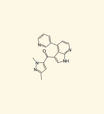 Cc1cc(C(=O)c2c[nH]c3nccc(-c4cccnc4)c23)n(C)n1